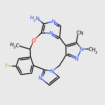 CC1Oc2nc(cnc2N)-c2c(nn(C)c2C#N)Cn2ccnc2-c2ccc(F)cc21